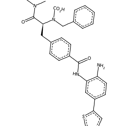 CN(C)C(=O)[C@H](Cc1ccc(C(=O)Nc2cc(-c3cccs3)ccc2N)cc1)N(Cc1ccccc1)C(=O)O